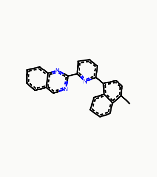 Cc1ccc(-c2cccc(-c3ncc4ccccc4n3)n2)c2ccccc12